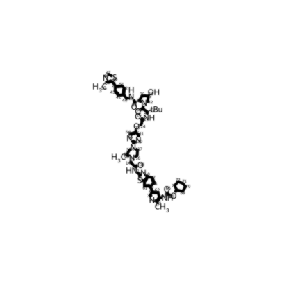 Cc1ncc(-c2ccc3nc(NC(=O)CN4CCN(c5ncc(OCC(=O)N[C@H](C(=O)N6C[C@H](O)C[C@H]6C(=O)NCc6ccc(-c7scnc7C)cc6)C(C)(C)C)cn5)CC4C)sc3c2)cc1NC(=O)OC1CCCCC1